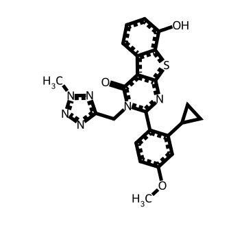 COc1ccc(-c2nc3sc4c(O)cccc4c3c(=O)n2Cc2nnn(C)n2)c(C2CC2)c1